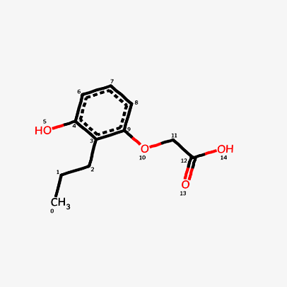 CCCc1c(O)cccc1OCC(=O)O